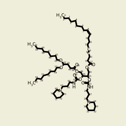 CCCCCCCC/C=C\CCCCCCCC(=O)OCC(OC(=O)NCCCN1CCCCC1)C(COC(=O)CCC(OCCCCCCCC)OCCCCCCCC)OC(=O)NCCCN1CCCCC1